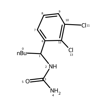 CCCCC(NC(N)=O)c1cccc(Cl)c1Cl